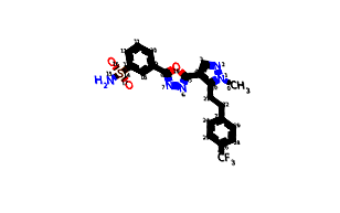 Cn1ncc(-c2nnc(-c3cccc(S(N)(=O)=O)c3)o2)c1CCc1ccc(C(F)(F)F)cc1